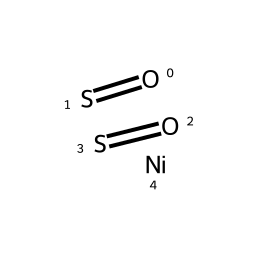 O=S.O=S.[Ni]